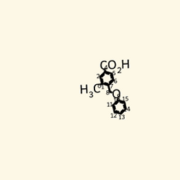 Cc1cc(C(=O)O)ccc1COc1ccccc1